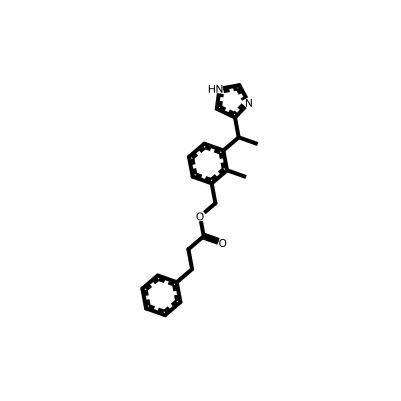 Cc1c(COC(=O)CCc2ccccc2)cccc1C(C)c1c[nH]cn1